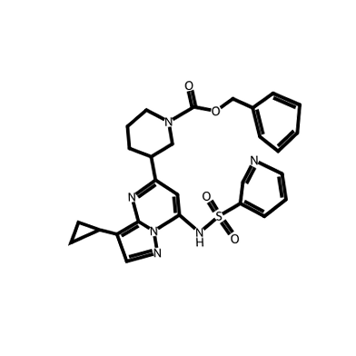 O=C(OCc1ccccc1)N1CCCC(c2cc(NS(=O)(=O)c3cccnc3)n3ncc(C4CC4)c3n2)C1